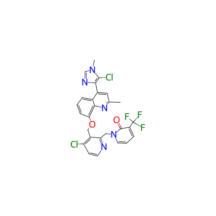 Cc1cc(-c2ncn(C)c2Cl)c2cccc(OCc3c(Cl)ccnc3Cn3cccc(C(F)(F)F)c3=O)c2n1